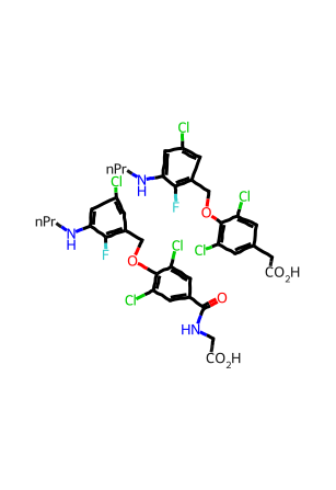 CCCNc1cc(Cl)cc(COc2c(Cl)cc(C(=O)NCC(=O)O)cc2Cl)c1F.CCCNc1cc(Cl)cc(COc2c(Cl)cc(CC(=O)O)cc2Cl)c1F